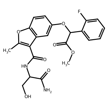 COC(=O)C(Oc1ccc2oc(C)c(C(=O)NC(CO)C(N)=O)c2c1)c1ccccc1F